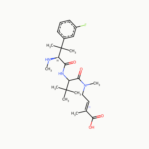 CN[C@H](C(=O)NC(C(=O)N(C)C/C=C(\C)C(=O)O)C(C)(C)C)C(C)(C)c1cccc(F)c1